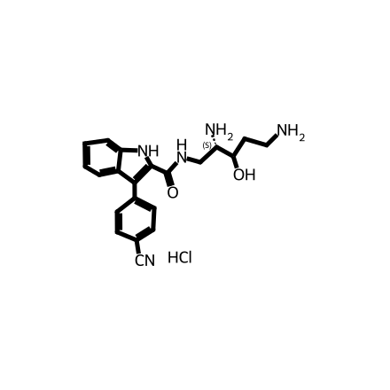 Cl.N#Cc1ccc(-c2c(C(=O)NC[C@H](N)C(O)CCN)[nH]c3ccccc23)cc1